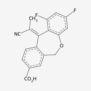 C/C(C#N)=C1/c2ccc(C(=O)O)cc2COc2cc(F)cc(F)c21